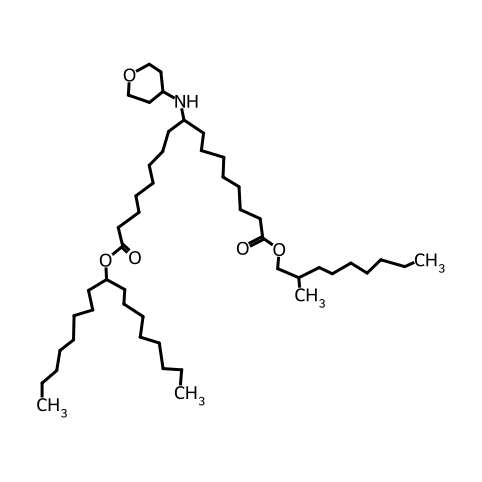 CCCCCCCCC(CCCCCCCC)OC(=O)CCCCCCCC(CCCCCCCC(=O)OCC(C)CCCCCCC)NC1CCOCC1